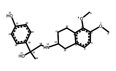 COc1ccc2c(c1OC)CCC(NCC(C)(O)c1ccc(O)cc1)C2